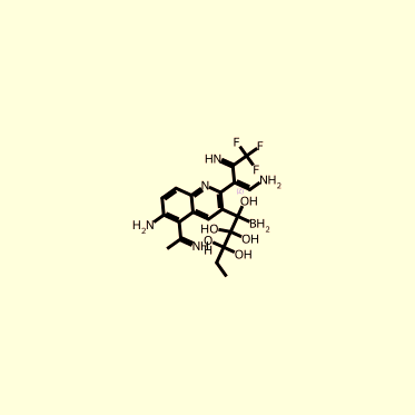 BC(O)(c1cc2c(C(C)=N)c(N)ccc2nc1/C(=C/N)C(=N)C(F)(F)F)C(O)(O)C(O)(O)CC